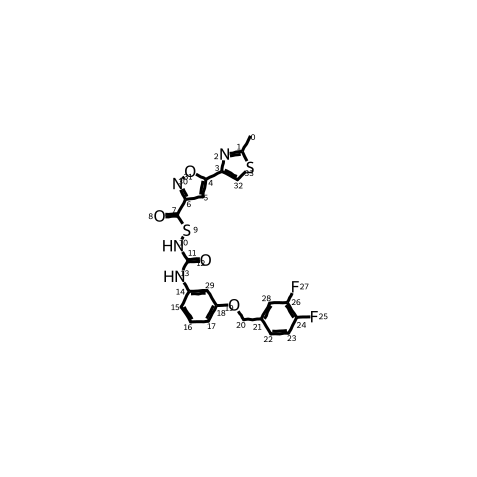 Cc1nc(-c2cc(C(=O)SNC(=O)Nc3cccc(OCc4ccc(F)c(F)c4)c3)no2)cs1